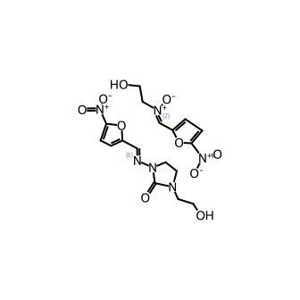 O=C1N(CCO)CCN1/N=C/c1ccc([N+](=O)[O-])o1.O=[N+]([O-])c1ccc(/C=[N+](\[O-])CCO)o1